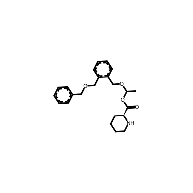 CC(OCc1ccccc1COCc1ccccc1)OC(=O)[C@@H]1CCCCN1